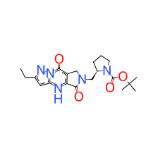 CCc1cc2[nH]c3c(c(=O)n2n1)CN(C[C@H]1CCCN1C(=O)OC(C)(C)C)C3=O